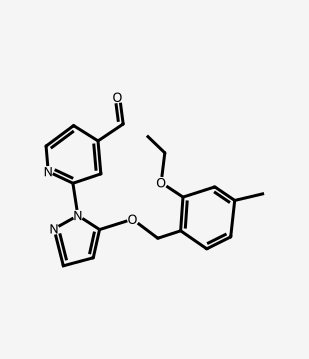 CCOc1cc(C)ccc1COc1ccnn1-c1cc(C=O)ccn1